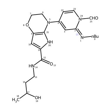 CCCC/N=c1/cc(N2CCOc3cc(C(=O)NCCC(C)O)[nH]c32)ccn1C=O